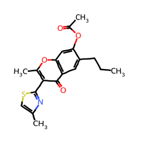 CCCc1cc2c(=O)c(-c3nc(C)cs3)c(C)oc2cc1OC(C)=O